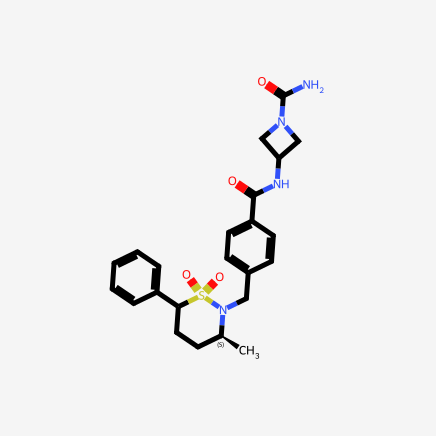 C[C@H]1CCC(c2ccccc2)S(=O)(=O)N1Cc1ccc(C(=O)NC2CN(C(N)=O)C2)cc1